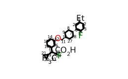 CCc1ccc(F)c([C@H]2CC[C@H](COc3cccc(C(C4CC4)C(C)(F)C(=O)O)c3)CC2)c1